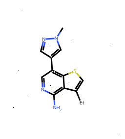 CCc1csc2c(-c3cnn(C)c3)cnc(N)c12